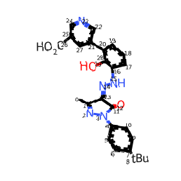 CC1=NN(c2ccc(C(C)(C)C)cc2)C(=O)C1=NNc1cccc(-c2cncc(C(=O)O)c2)c1O